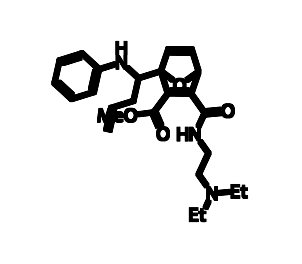 C=CCC(Nc1ccccc1)C12C=CC(O1)C(C(=O)NCCN(CC)CC)=C2C(=O)OC